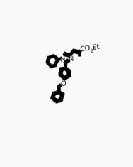 CCOC(=O)C(C)=Cc1cn(C2CCCCC2)c(-c2ccc(OCc3ccccc3)cc2)n1